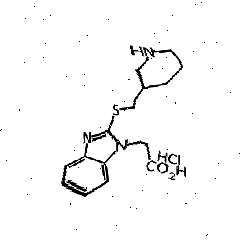 Cl.O=C(O)Cn1c(SCC2CCCNC2)nc2ccccc21